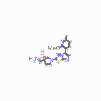 COc1nc(C)ccc1-c1cnc2sc(N3CC[C@](O)(CN)C3)nn12